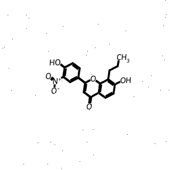 CCCc1c(O)ccc2c(=O)cc(-c3ccc(O)c([N+](=O)[O-])c3)oc12